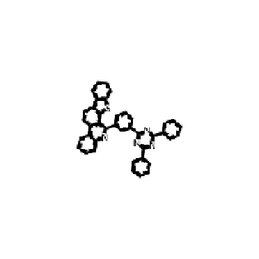 c1ccc(-c2nc(-c3ccccc3)nc(-c3cccc(-c4nc5ccccc5c5ccc6c7ccccc7sc6c45)c3)n2)cc1